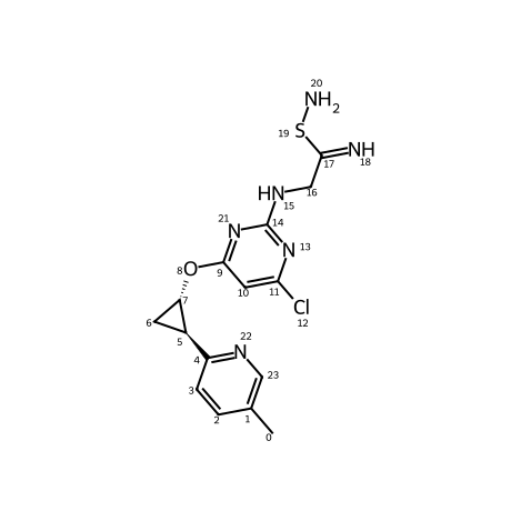 Cc1ccc([C@H]2C[C@@H]2Oc2cc(Cl)nc(NCC(=N)SN)n2)nc1